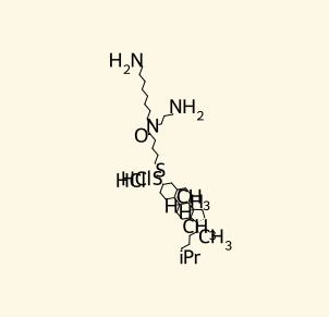 CC(C)CCC[C@@H](C)[C@H]1CC[C@H]2[C@@H]3CC=C4C[C@@H](SSCCCCC(=O)N(CCCN)CCCCCCCCN)CC[C@]4(C)[C@H]3CC[C@]12C.Cl.Cl